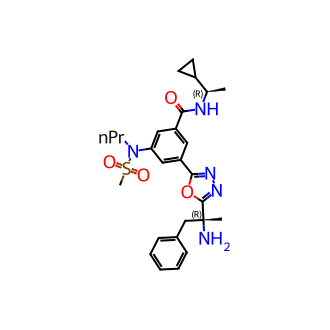 CCCN(c1cc(C(=O)N[C@H](C)C2CC2)cc(-c2nnc([C@](C)(N)Cc3ccccc3)o2)c1)S(C)(=O)=O